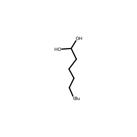 CC(C)(C)CCCCC(O)O